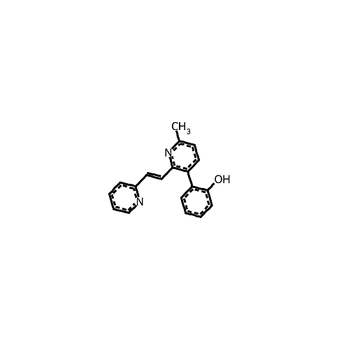 Cc1ccc(-c2ccccc2O)c(C=Cc2ccccn2)n1